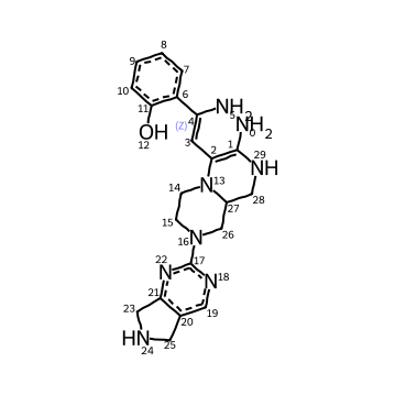 NC1=C(/C=C(\N)c2ccccc2O)N2CCN(c3ncc4c(n3)CNC4)CC2CN1